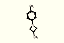 NC1CN(c2ccc([N+](=O)[O-])cc2)C1